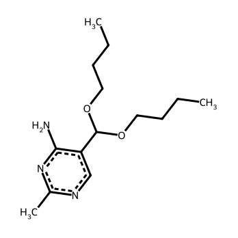 CCCCOC(OCCCC)c1cnc(C)nc1N